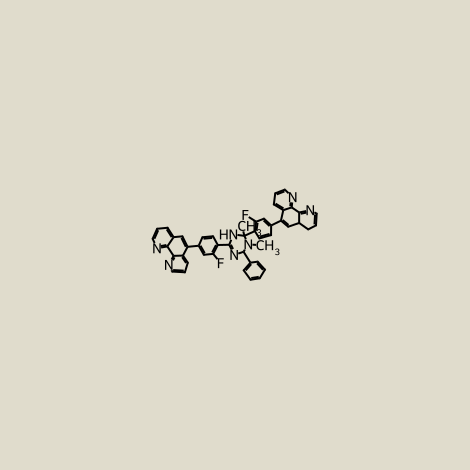 CN1C(c2ccccc2)N=C(c2ccc(-c3cc4cccnc4c4ncccc34)cc2F)NC1(C)c1ccc(C2=CC3CC=CN=C3c3ncccc32)cc1F